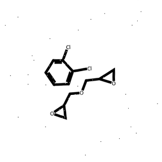 C(OCC1CO1)C1CO1.Clc1ccccc1Cl